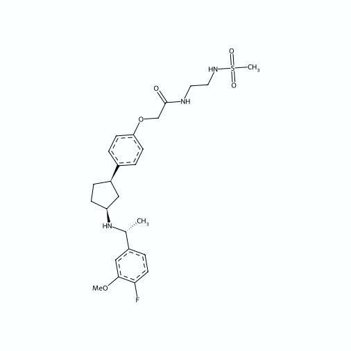 COc1cc([C@@H](C)N[C@H]2CC[C@@H](c3ccc(OCC(=O)NCCNS(C)(=O)=O)cc3)C2)ccc1F